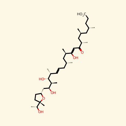 C[C@H](C/C=C/[C@@H](C)[C@@H](O)[C@@H](C)[C@@H](O)C[C@H]1CC[C@@](C)([C@@H](C)O)O1)C[C@@H](C)/C(O)=C/C(=O)[C@@H](C)C[C@@H](C)C[C@@H](C)CCC(=O)O